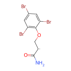 NC(=O)[CH]COc1c(Br)cc(Br)cc1Br